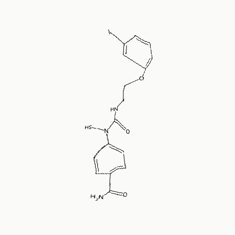 NC(=O)c1ccc(N(S)C(=O)NCCOc2cccc(I)c2)cc1